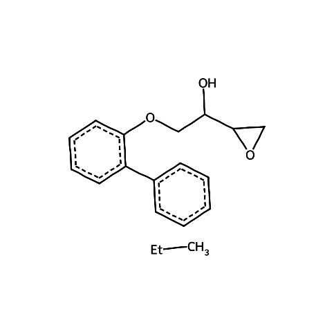 CCC.OC(COc1ccccc1-c1ccccc1)C1CO1